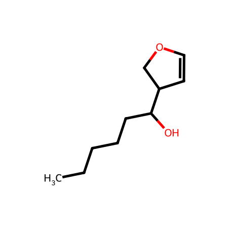 CCCCCC(O)[C]1C=COC1